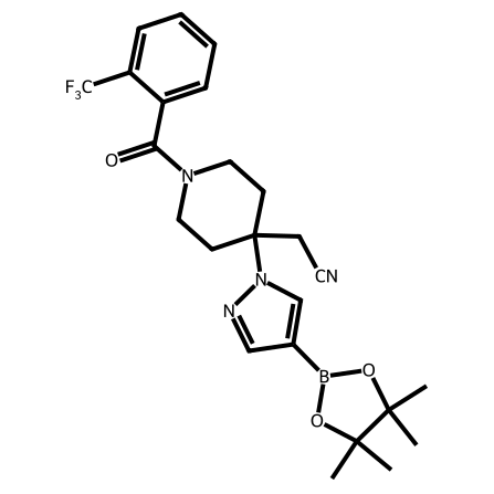 CC1(C)OB(c2cnn(C3(CC#N)CCN(C(=O)c4ccccc4C(F)(F)F)CC3)c2)OC1(C)C